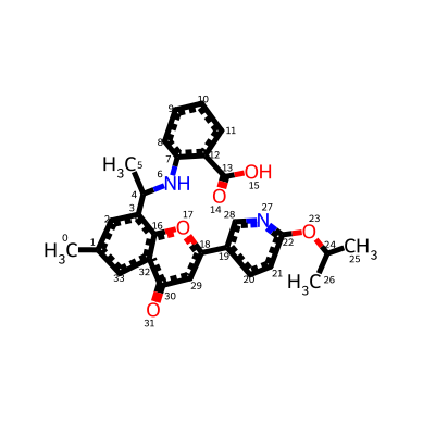 Cc1cc(C(C)Nc2ccccc2C(=O)O)c2oc(-c3ccc(OC(C)C)nc3)cc(=O)c2c1